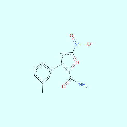 Cc1cccc(-c2cc([N+](=O)[O-])oc2C(N)=O)c1